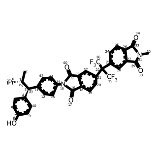 CC(C)[C@H](C)[C@H](c1ccc(O)cc1)c1ccc(N2C(=O)c3ccc(C(c4ccc5c(c4)C(=O)N(C)C5=O)(C(F)(F)F)C(F)(F)F)cc3C2=O)cc1